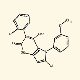 COc1cccc(-n2c(Cl)cc3[nH]c(=O)c(-c4ccccc4F)c(O)c32)c1